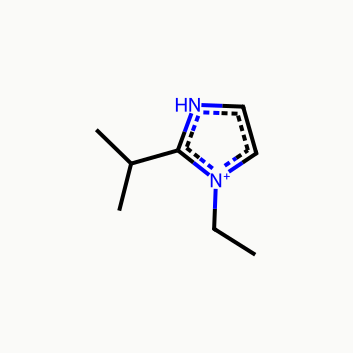 CC[n+]1cc[nH]c1C(C)C